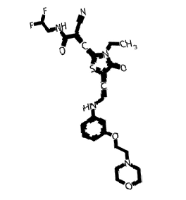 CCn1c(=C=C(C#N)C(=O)NCC(F)F)sc(=C=CNc2cccc(OCCN3CCOCC3)c2)c1=O